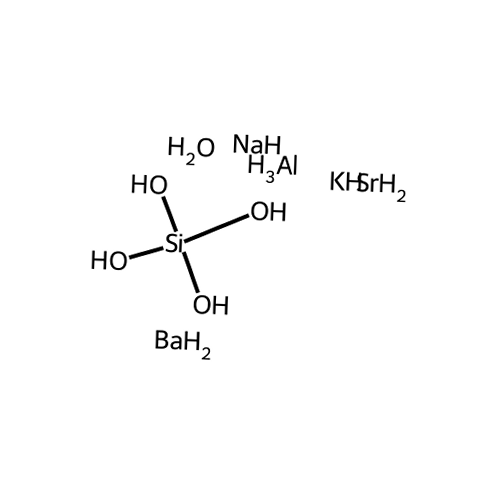 O.O[Si](O)(O)O.[AlH3].[BaH2].[KH].[NaH].[SrH2]